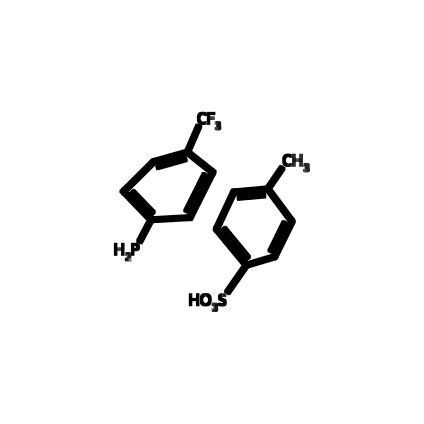 Cc1ccc(S(=O)(=O)O)cc1.FC(F)(F)c1ccc(P)cc1